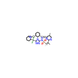 COc1cccc(OC)c1-n1c(NS(=O)(=O)[C@@H](C)[C@H](C)c2ncc(C)cn2)nnc1C(F)(F)c1ccccn1